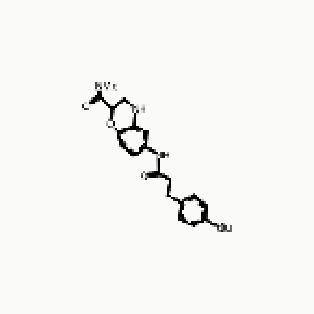 CNC(=O)C1CNc2cc(NC(=O)CCc3ccc(C(C)(C)C)cc3)ccc2O1